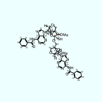 COC[C@@]12CO[C@@H]([C@H](n3cnc4c(NC(=O)c5ccccc5)ncnc43)O1)[C@@H]2OP(=O)(S)OC[C@@]12CO[C@@H]([C@H](n3cnc4c(NC(=O)c5ccccc5)ncnc43)O1)[C@@H]2OC